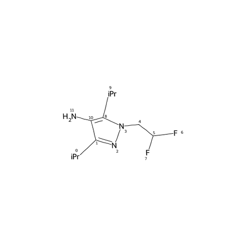 CC(C)c1nn(CC(F)F)c(C(C)C)c1N